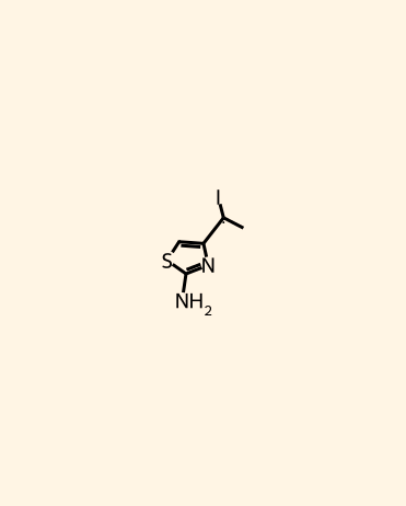 C[C](I)c1csc(N)n1